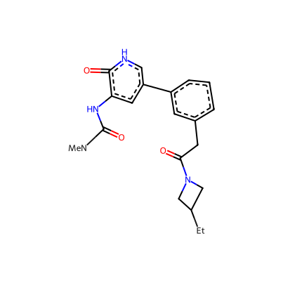 CCC1CN(C(=O)Cc2cccc(-c3c[nH]c(=O)c(NC(=O)NC)c3)c2)C1